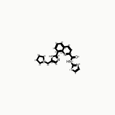 O=C(Nc1nccs1)c1ccc2cccc(-c3ncc(CN4CCCC4)s3)c2n1